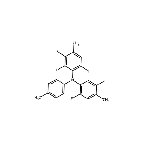 Cc1ccc(N(c2cc(F)c(C)cc2F)c2c(F)cc(C)c(F)c2F)cc1